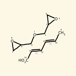 C(OCC1CO1)C1CO1.C/C=C/C=C/C(=O)O